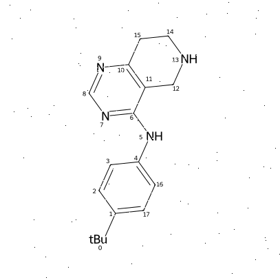 CC(C)(C)c1ccc(Nc2ncnc3c2CNCC3)cc1